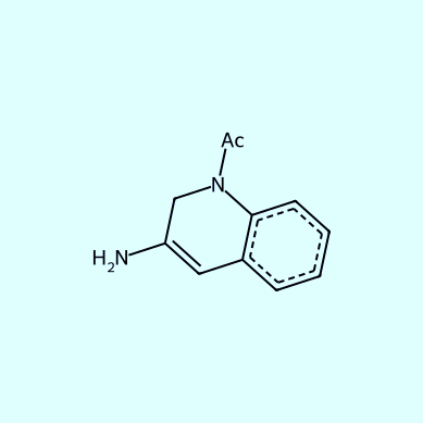 CC(=O)N1CC(N)=Cc2ccccc21